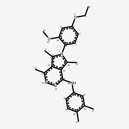 CCOc1ccc(-n2c(C)c3c(C)nnc(Nc4ccc(C)c(C)c4)c3c2C)c(OC)c1